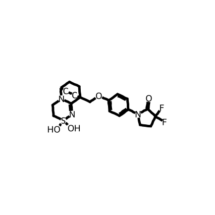 O=C1N(c2ccc(OCC34CCC(CC3)N3CCS(O)(O)N=C34)cc2)CCC1(F)F